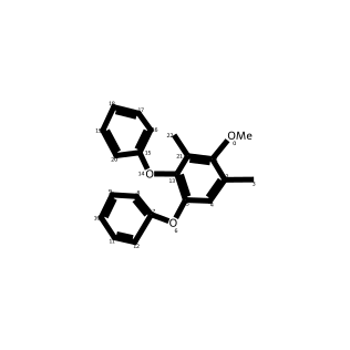 COc1c(C)cc(Oc2ccccc2)c(Oc2ccccc2)c1C